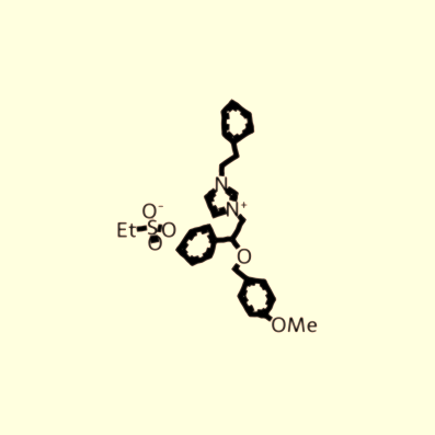 CCS(=O)(=O)[O-].COc1ccc(COC(C[n+]2ccn(CCc3ccccc3)c2)c2ccccc2)cc1